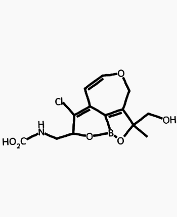 CC1(CO)OB2OC(CNC(=O)O)C(Cl)=C3C=COCC1=C23